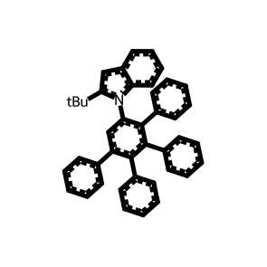 CC(C)(C)c1cc2ccccc2n1-c1cc(-c2ccccc2)c(-c2ccccc2)c(-c2ccccc2)c1-c1ccccc1